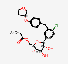 CC(=O)OCC(=O)OC[C@H]1O[C@@H](c2ccc(Cl)c(Cc3ccc(O[C@@H]4CCOC4)cc3)c2)[C@H](O)[C@@H](O)[C@@H]1O